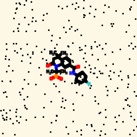 CC1(C)CC(=O)N(C(C)(C)P(=O)=O)c2cc(C(=O)Nc3ccc(F)cc3)ccc21